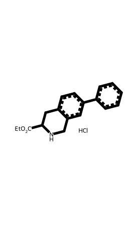 CCOC(=O)C1Cc2ccc(-c3ccccc3)cc2CN1.Cl